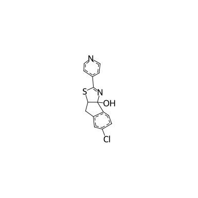 OC12N=C(c3ccncc3)SC1Cc1cc(Cl)ccc12